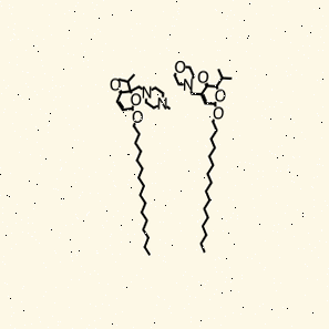 CCCCCCCCCCCCCCCCOC1C=C(CN2CCOCC2)C(=O)C(C(C)C)O1.CCCCCCCCCCCCCCCCOC1C=CC(=O)C(CN2CCN(C)CC2)(C(C)C)O1